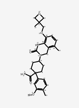 COc1cc(C2(C(N)=O)CCC(N3Cc4c(C)ccc(OCC5(C)COC5)c4NC3=O)CC2)ccc1C